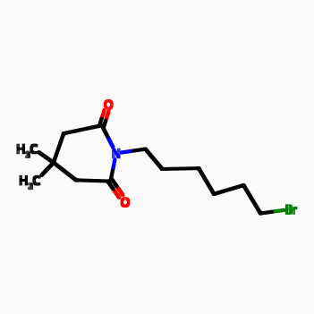 CC1(C)CC(=O)N(CCCCCCBr)C(=O)C1